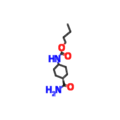 CCCCOC(=O)N[C@H]1CC[C@@H](C(N)=O)CC1